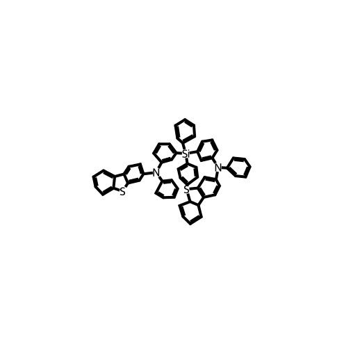 C1=CC2Sc3cc(N(c4ccccc4)c4cccc([Si](c5ccccc5)(c5ccccc5)c5cccc(N(c6ccccc6)c6ccc7c(c6)sc6ccccc67)c5)c4)ccc3C2C=C1